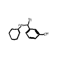 CCC(NC1CCCCC1)c1cccc(O)c1